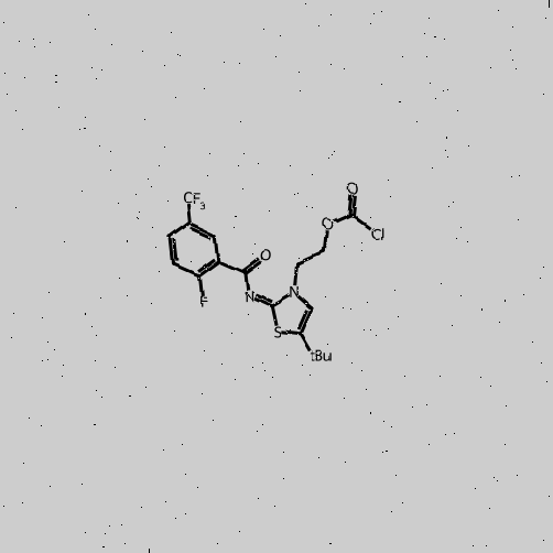 CC(C)(C)c1cn(CCOC(=O)Cl)c(=NC(=O)c2cc(C(F)(F)F)ccc2F)s1